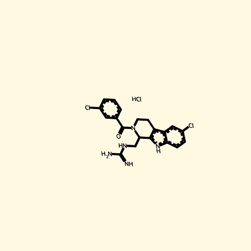 Cl.N=C(N)NCC1c2[nH]c3ccc(Cl)cc3c2CCN1C(=O)c1cccc(Cl)c1